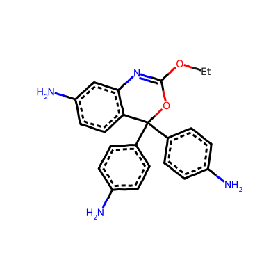 CCOC1=Nc2cc(N)ccc2C(c2ccc(N)cc2)(c2ccc(N)cc2)O1